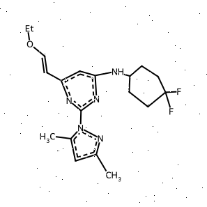 CCOC=Cc1cc(NC2CCC(F)(F)CC2)nc(-n2nc(C)cc2C)n1